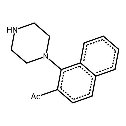 CC(=O)c1ccc2ccccc2c1N1CCNCC1